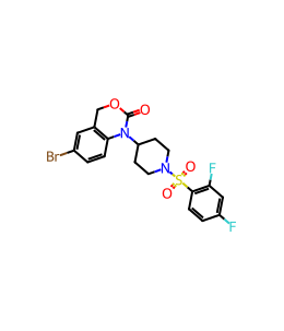 O=C1OCc2cc(Br)ccc2N1C1CCN(S(=O)(=O)c2ccc(F)cc2F)CC1